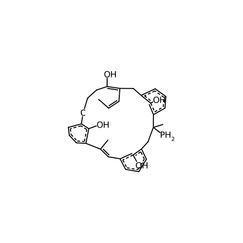 C/C=C\C1=C(\O)CCCc2cccc(c2O)/C(C)=C/c2cccc(c2O)CC(C)(P)c2cccc(c2O)C1